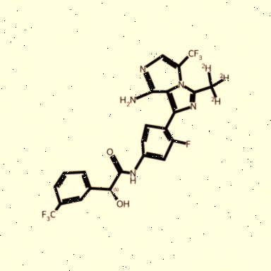 [2H]C([2H])([2H])c1nc(-c2ccc(NC(=O)[C@@H](O)c3cccc(C(F)(F)F)c3)cc2F)c2c(N)ncc(C(F)(F)F)n12